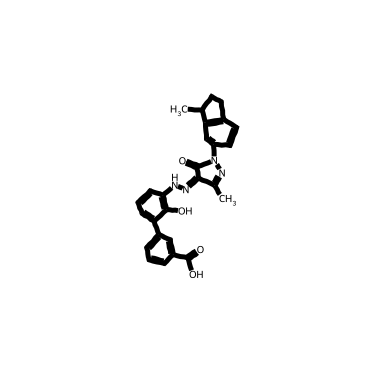 CC1=NN(c2ccc3c(c2)C(C)CC3)C(=O)/C1=N\Nc1cccc(-c2cccc(C(=O)O)c2)c1O